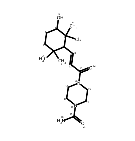 CC1(C)CCC(O)C(C)(Cl)C1C=CC(=O)N1CCN(C(N)=O)CC1